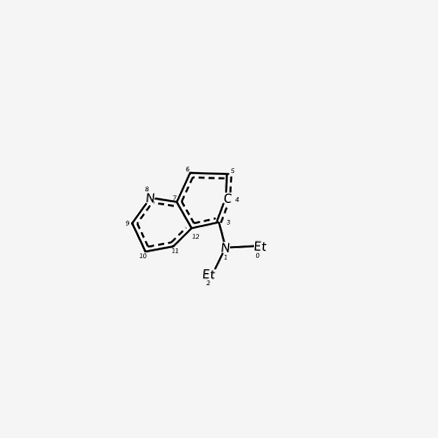 CCN(CC)c1cccc2ncccc12